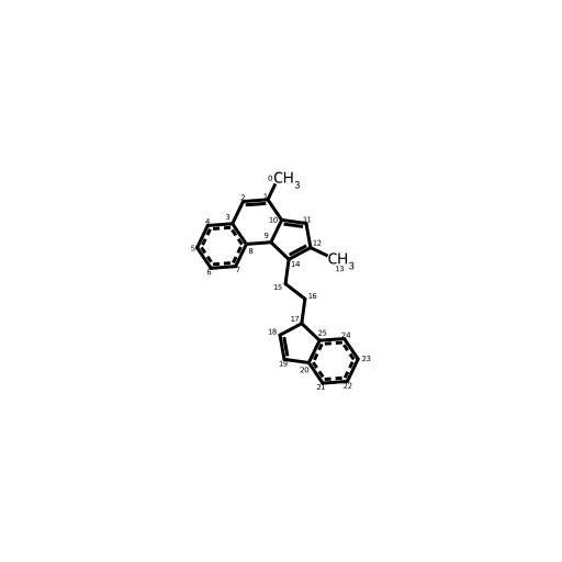 CC1=Cc2ccccc2C2C1=CC(C)=C2CCC1C=Cc2ccccc21